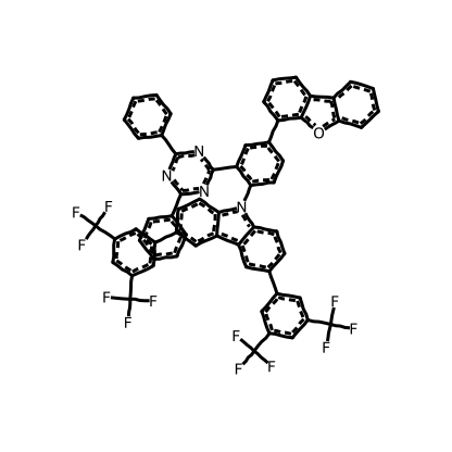 FC(F)(F)c1cc(-c2ccc3c(c2)c2cc(-c4cc(C(F)(F)F)cc(C(F)(F)F)c4)ccc2n3-c2ccc(-c3cccc4c3oc3ccccc34)cc2-c2nc(-c3ccccc3)nc(-c3ccccc3)n2)cc(C(F)(F)F)c1